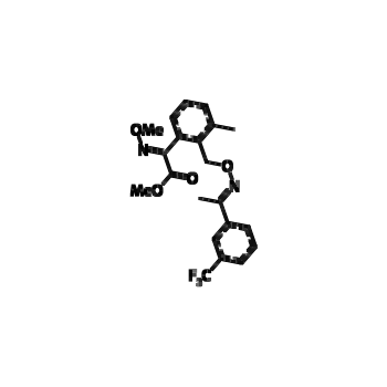 CO/N=C(/C(=O)OC)c1cccc(C)c1CO/N=C(\C)c1cccc(C(F)(F)F)c1